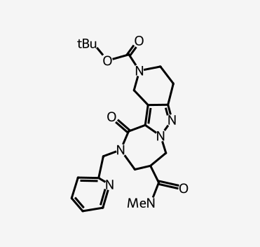 CNC(=O)C1CN(Cc2ccccn2)C(=O)c2c3c(nn2C1)CCN(C(=O)OC(C)(C)C)C3